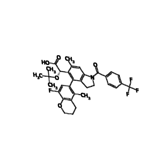 Cc1cc2c(c(-c3cc(F)c4c(c3C)CCCO4)c1[C@H](OC(C)(C)C)C(=O)O)CCN2C(=O)c1ccc(C(F)(F)F)cc1